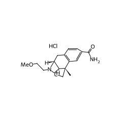 COCCN1CC[C@@]2(C)c3cc(C(N)=O)ccc3C[C@@H]1[C@@H]2C.Cl